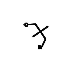 CC(C)(C[O])CBr